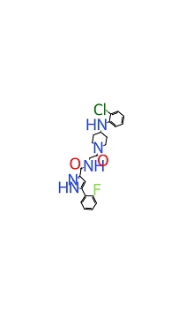 O=C(NCC(=O)N1CCC(Nc2ccccc2Cl)CC1)c1cc(-c2ccccc2F)[nH]n1